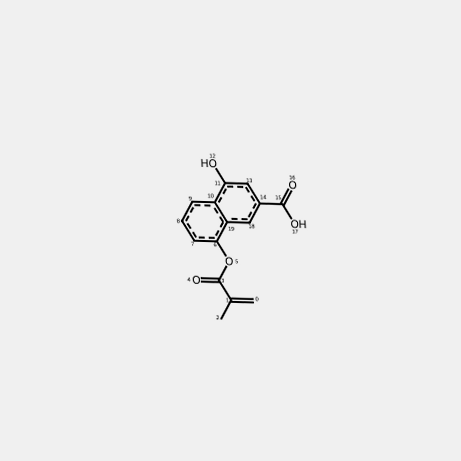 C=C(C)C(=O)Oc1cccc2c(O)cc(C(=O)O)cc12